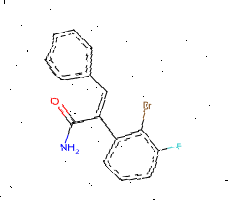 NC(=O)C(=Cc1ccccc1)c1cccc(F)c1Br